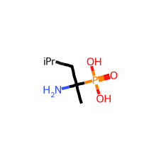 CC(C)CC(C)(N)P(=O)(O)O